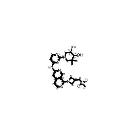 CC1(C)CN(c2nccc(Nc3cc4ccnc(N5CC(CS(C)(=O)=O)C5)c4cn3)n2)C[C@@H](F)[C@H]1O